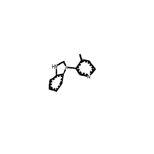 Cc1ccncc1N1[CH]Nc2ccccc21